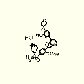 COc1cc(C(=O)N(C)C2CCNCC2)ccc1-c1cc2nccc(-c3ccc(OC4CCOCC4)c(C#N)c3)c2o1.Cl